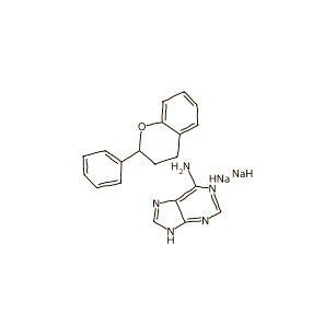 Nc1ncnc2[nH]cnc12.[NaH].[NaH].c1ccc(C2CCc3ccccc3O2)cc1